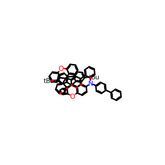 CC(C)(C)c1ccc2c(c1)C1(c3ccccc3Oc3ccc(N(c4ccc(-c5ccccc5)cc4)c4ccccc4-c4ccc5c(c4)C4(c6ccccc6Oc6ccccc64)c4ccccc4-5)cc31)c1cc(C(C)(C)C)ccc1-2